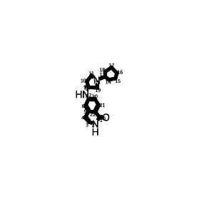 O=c1[nH]ccc2cc(N[C@H]3CCN(C4CCCCC4)C3)ccc12